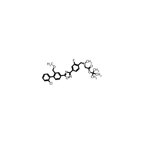 COCc1cc(-c2nc(-c3ccc(CN(C)CC(=O)OC(C)(C)C)c(F)c3)no2)ccc1-c1ccccc1Cl